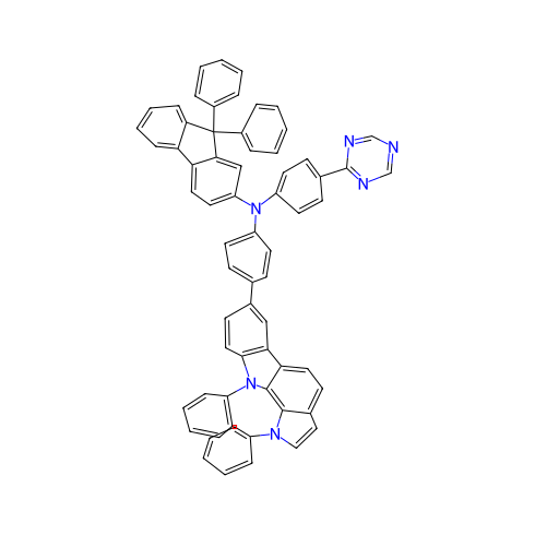 c1ccc(-n2ccc3ccc4c5cc(-c6ccc(N(c7ccc(-c8ncncn8)cc7)c7ccc8c(c7)C(c7ccccc7)(c7ccccc7)c7ccccc7-8)cc6)ccc5n(-c5ccccc5)c4c32)cc1